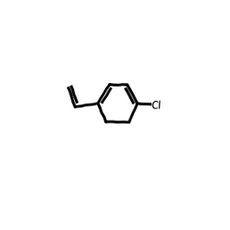 C=CC1=CC=C(Cl)CC1